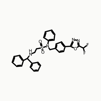 O=S(=O)(CCNC(c1ccccc1)c1ccccc1)N(Cc1ccc(-c2nnc(C(F)F)o2)cc1)c1ccccc1